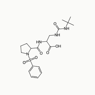 CC(C)(C)NC(=O)NCC(NC(=O)C1CCCN1S(=O)(=O)c1ccccc1)C(=O)O